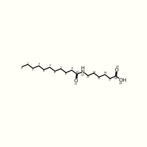 CCCCCCCCCCC(=O)NCCCCCC(=O)O